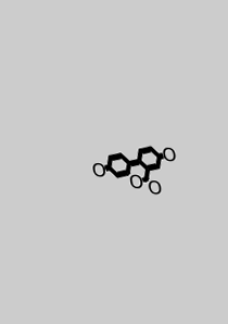 O=C1C=Cc2c3c(c(=O)oc2=C1)=CC(=O)C=C3